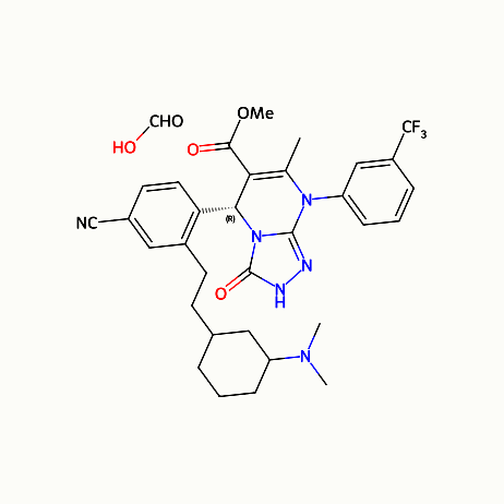 COC(=O)C1=C(C)N(c2cccc(C(F)(F)F)c2)c2n[nH]c(=O)n2[C@@H]1c1ccc(C#N)cc1CCC1CCCC(N(C)C)C1.O=CO